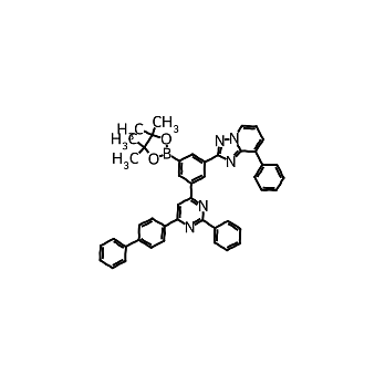 CC1(C)OB(c2cc(-c3cc(-c4ccc(-c5ccccc5)cc4)nc(-c4ccccc4)n3)cc(-c3nc4c(-c5ccccc5)cccn4n3)c2)OC1(C)C